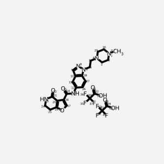 CN1CCN(CCn2ncc3cc(NC(=O)c4coc5c4C(=O)NCC5)ccc32)CC1.O=C(O)C(F)(F)F.O=C(O)C(F)(F)F